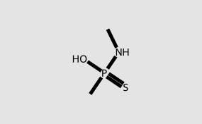 CNP(C)(O)=S